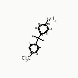 CC(C)(c1ccc(C(Cl)(Cl)Cl)cc1)c1ccc(C(Cl)(Cl)Cl)cc1